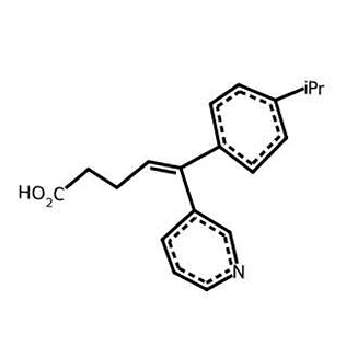 CC(C)c1ccc(C(=CCCC(=O)O)c2cccnc2)cc1